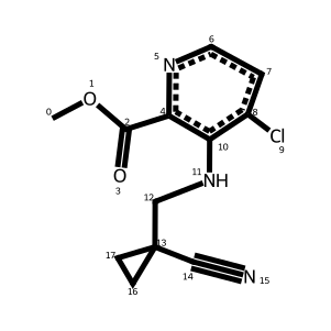 COC(=O)c1nccc(Cl)c1NCC1(C#N)CC1